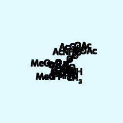 COc1ccc(C(OC[C@]2(CO[Si](C(C)C)(C(C)C)C(C)C)CN(CCOCCO[C@@H]3O[C@H](COC(C)=O)[C@H](OC(C)=O)[C@H](OC(C)=O)[C@H]3NC(C)=O)C[C@H](n3cc(C)c(=O)[nH]c3=O)O2)(c2ccccc2)c2ccc(OC)cc2)cc1